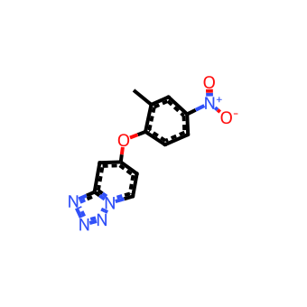 Cc1cc([N+](=O)[O-])ccc1Oc1ccn2nnnc2c1